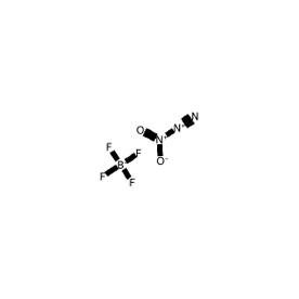 F[B-](F)(F)F.N#[N+][N+](=O)[O-]